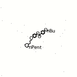 CCCCCC1CCCCC1CCCOc1ccc(OC(=O)c2ccc(OCCCC)cc2)cc1